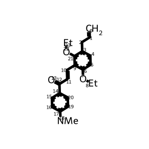 C=CCc1ccc(OCC)c(/C=C/C(=O)c2ccc(NC)cc2)c1OCC